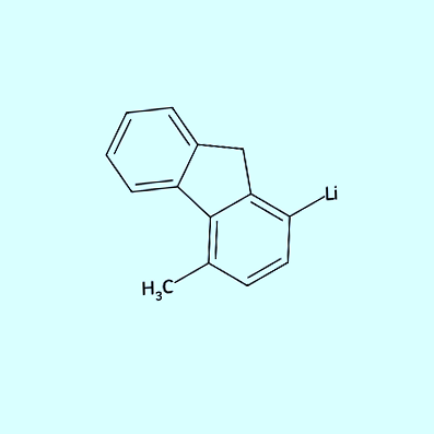 [Li][c]1ccc(C)c2c1Cc1ccccc1-2